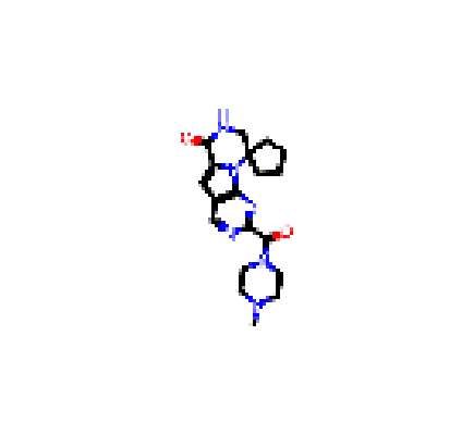 CN1CCN(C(=O)c2ncc3cc4n(c3n2)C2(CCCC2)CNC4=O)CC1